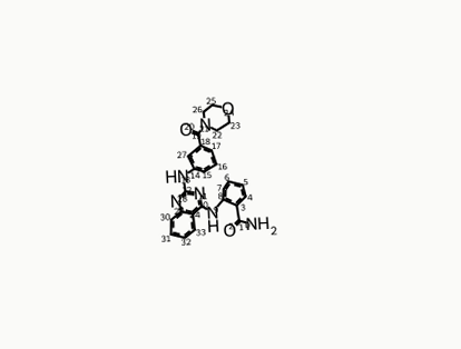 NC(=O)c1ccccc1Nc1nc(Nc2cccc(C(=O)N3CCOCC3)c2)nc2ccccc12